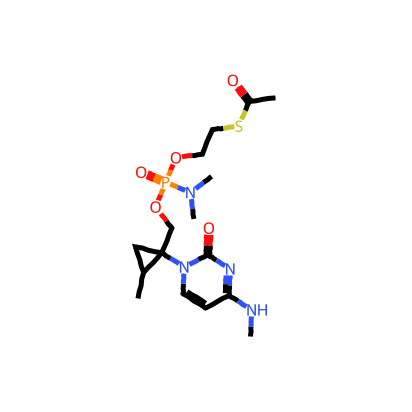 CNc1ccn(C2(COP(=O)(OCCSC(C)=O)N(C)C)CC2C)c(=O)n1